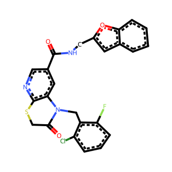 O=C(NCc1cc2ccccc2o1)c1cnc2c(c1)N(Cc1c(F)cccc1Cl)C(=O)CS2